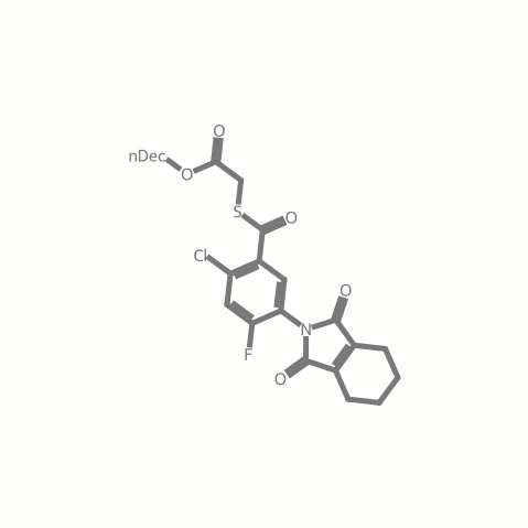 CCCCCCCCCCOC(=O)CSC(=O)c1cc(N2C(=O)C3=C(CCCC3)C2=O)c(F)cc1Cl